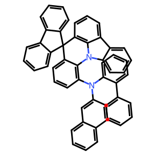 c1ccc(-c2ccccc2N(c2ccc3ccccc3c2)c2cccc3c2-n2c4ccccc4c4cccc(c42)C32c3ccccc3-c3ccccc32)cc1